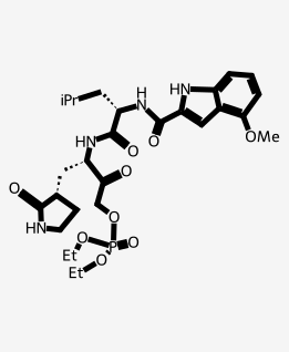 CCOP(=O)(OCC)OCC(=O)[C@H](C[C@@H]1CCNC1=O)NC(=O)[C@H](CC(C)C)NC(=O)c1cc2c(OC)cccc2[nH]1